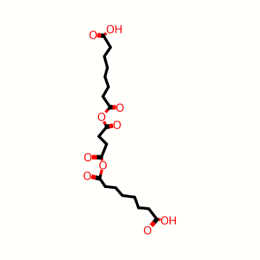 O=C(O)CCCCCCC(=O)OC(=O)CCC(=O)OC(=O)CCCCCCC(=O)O